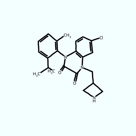 Cc1cccc(C(C)C)c1-n1c(=O)c(=O)n(CC2CNC2)c2cc(Cl)ccc21